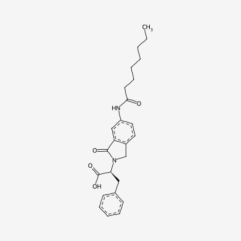 CCCCCCCC(=O)Nc1ccc2c(c1)C(=O)N([C@@H](Cc1ccccc1)C(=O)O)C2